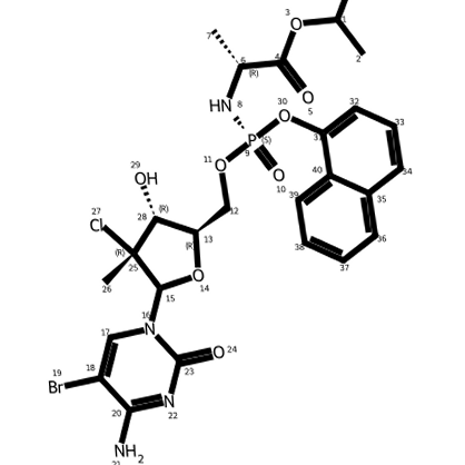 CC(C)OC(=O)[C@@H](C)N[P@](=O)(OC[C@H]1OC(n2cc(Br)c(N)nc2=O)[C@](C)(Cl)[C@@H]1O)Oc1cccc2ccccc12